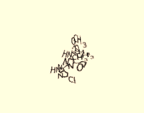 COC(=O)C[C@@H](Nc1cc(-c2ccco2)nc(-c2n[nH]c3ncc(Cl)cc23)n1)C(C)(C)C